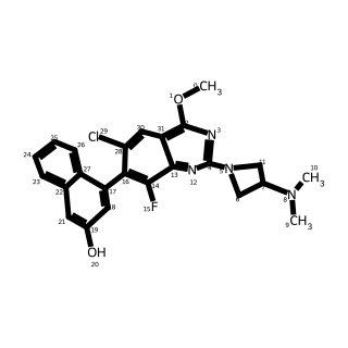 COc1nc(N2CC(N(C)C)C2)nc2c(F)c(-c3cc(O)cc4ccccc34)c(Cl)cc12